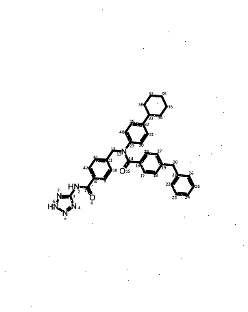 O=C(Nc1nn[nH]n1)c1ccc(CN(C(=O)c2ccc(Cc3ccccc3)cc2)c2ccc(C3CCCCC3)cc2)cc1